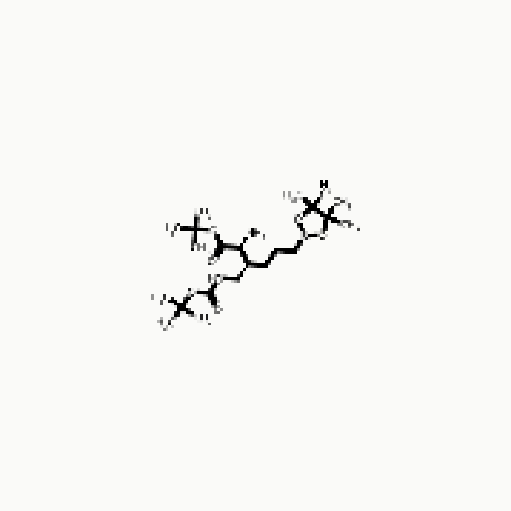 CC(C)(C)OC(=O)NC[C@H](CCCB1OC(C)(C)C(C)(C)O1)[C@H](N)C(=O)OC(C)(C)C